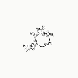 CC(O)[C@@H]1NC(=O)[C@@H](N)CCC(=O)NCCCC[C@@H](C(=O)N[C@@H](CO)C(N)=O)NC[C@H](CO)NC1=O